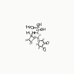 NC(CC(c1ccc(Cl)c(Cl)c1)C1CCC1)C(O)C(O)O